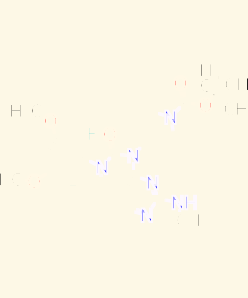 CNc1ncc2c(n1)N(C1CCN(C(=O)OC(C)(C)C)CC1)C(=O)N(c1c(F)c(OC)cc(OC)c1F)C2